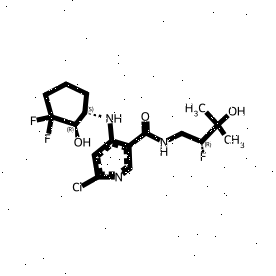 CC(C)(O)[C@H](F)CNC(=O)c1cnc(Cl)cc1N[C@H]1CCCC(F)(F)[C@@H]1O